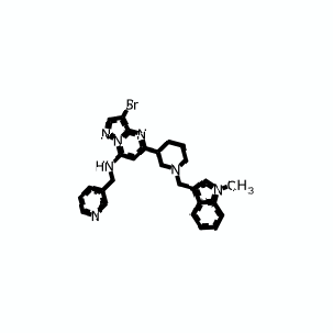 Cn1cc(CN2CCCC(c3cc(NCc4cccnc4)n4ncc(Br)c4n3)C2)c2ccccc21